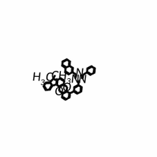 CC1(C)c2ccccc2-c2c1ccc1c2Oc2cccc(-c3cccc(-c4nc(-c5ccccc5)nc(-c5ccc6ccccc6c5)n4)c3)c2O1